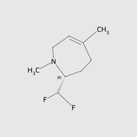 CC1=CCN(C)[C@@H](C(F)F)CC1